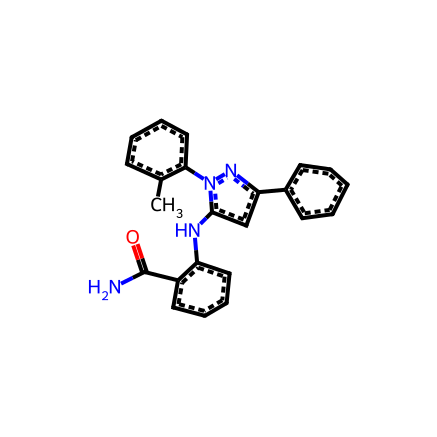 Cc1ccccc1-n1nc(-c2ccccc2)cc1Nc1ccccc1C(N)=O